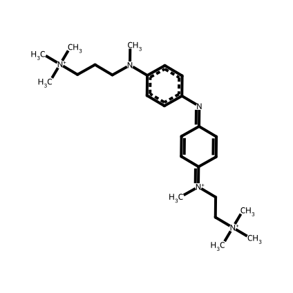 CN(CCC[N+](C)(C)C)c1ccc(N=C2C=CC(=[N+](C)CC[N+](C)(C)C)C=C2)cc1